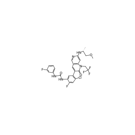 COC[C@@H](C)Nc1cc2c(cn1)cc(-c1cc(NC(=O)Nc3cccc(F)c3)c(F)cc1Cl)c(=O)n2CC(F)(F)F